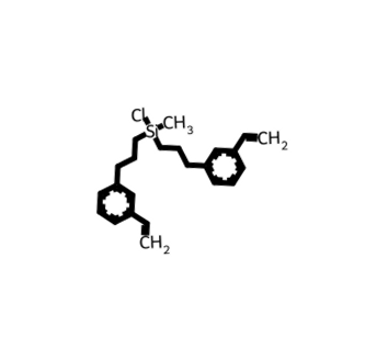 C=Cc1cccc(CCC[Si](C)(Cl)CCCc2cccc(C=C)c2)c1